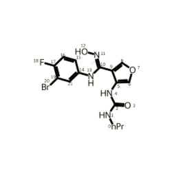 CCCNC(=O)Nc1cocc1/C(=N/O)Nc1ccc(F)c(Br)c1